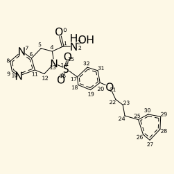 O=C(NO)C1Cc2nccnc2CN1S(=O)(=O)c1ccc(OCCCc2ccccc2)cc1